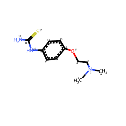 CN(C)CCOc1ccc(NC(N)=S)cc1